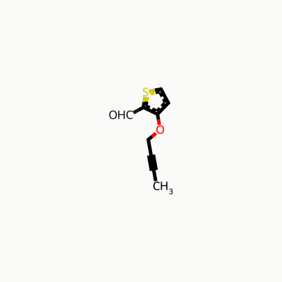 CC#CCOc1ccsc1C=O